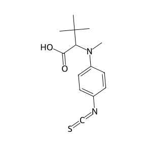 CN(c1ccc(N=C=S)cc1)C(C(=O)O)C(C)(C)C